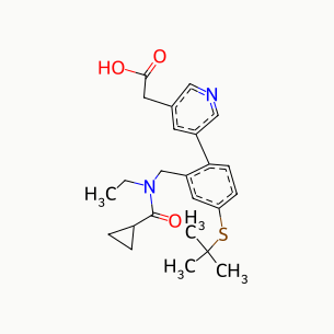 CCN(Cc1cc(SC(C)(C)C)ccc1-c1cncc(CC(=O)O)c1)C(=O)C1CC1